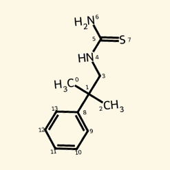 CC(C)(CNC(N)=S)c1ccccc1